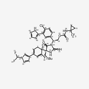 CC(C)(C)C[C@]1(C2(C)CC=C(c3cnn(C(F)F)c3)C=C2F)NC(=N)N([C@H](COC(=O)NC2(C(F)(F)F)CC2)c2ccc(Cl)c(-c3ncn[nH]3)c2)C1=O